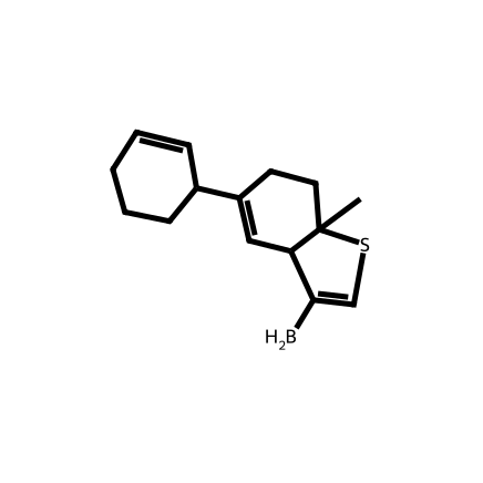 BC1=CSC2(C)CCC(C3C=CCCC3)=CC12